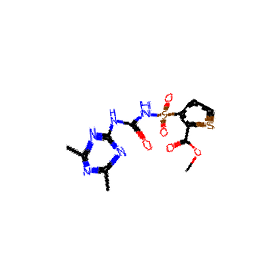 COC(=O)c1sccc1S(=O)(=O)NC(=O)Nc1nc(C)nc(C)n1